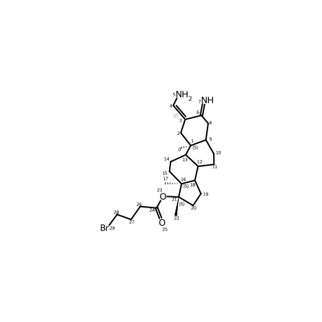 C[C@]12C/C(=C/N)C(=N)CC1CCC1C2CC[C@@]2(C)C1CC[C@]2(C)OC(=O)CCCBr